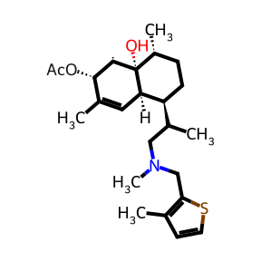 CC(=O)O[C@@H]1[CH][C@@]2(O)[C@H](C)CC[C@@H](C(C)CN(C)Cc3sccc3C)[C@H]2C=C1C